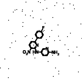 Nc1ccc(Nc2nc(-c3ccc(F)cc3)ccc2[N+](=O)[O-])cn1